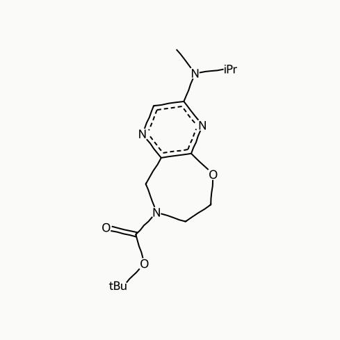 CC(C)N(C)c1cnc2c(n1)OCCN(C(=O)OC(C)(C)C)C2